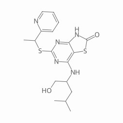 CC(C)CC(CO)Nc1nc(SC(C)c2ccccn2)nc2[nH]c(=O)sc12